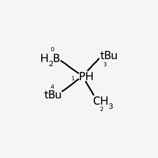 B[PH](C)(C(C)(C)C)C(C)(C)C